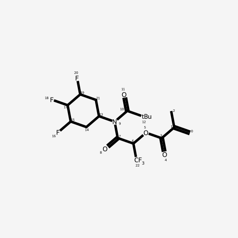 C=C(C)C(=O)OC(C(=O)N(C(=O)C(C)(C)C)C1CC(F)C(F)C(F)C1)C(F)(F)F